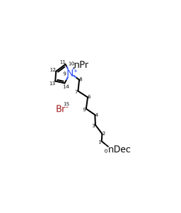 CCCCCCCCCCCCCCCCCC[N+]1(CCC)C=CC=C1.[Br-]